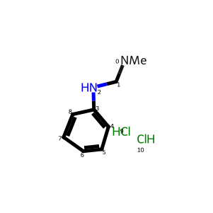 CNCNc1ccccc1.Cl.Cl